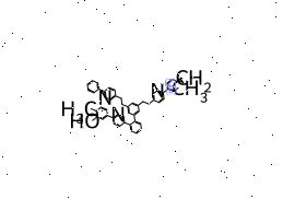 C=C/C=C\C(=C/C)c1ccc(CCc2cc(CCc3ccc(-c4ccccc4)nc3)cc(-c3ccccc3-c3ccc(-c4ccc(C)c(O)c4)nc3)c2)cn1